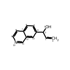 C=CC(O)c1ccc2c[c]ncc2c1